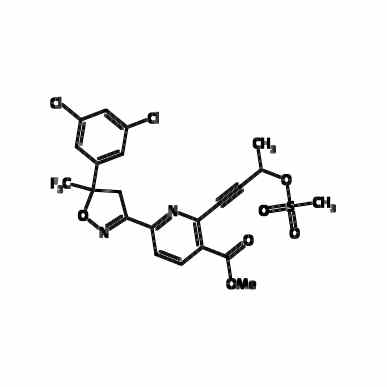 COC(=O)c1ccc(C2=NOC(c3cc(Cl)cc(Cl)c3)(C(F)(F)F)C2)nc1C#CC(C)OS(C)(=O)=O